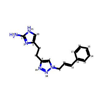 Nc1nc(CCc2cn(C/C=C/c3ccccc3)nn2)c[nH]1